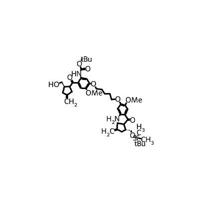 C=C1CC(C(=O)c2cc(OC)c(OCCCCCOc3cc(NC(=O)OC(C)(C)C)c(C(=O)C4CC(=C)C[C@H]4CO)cc3OC)cc2N)[C@H](CO[Si](C)(C)C(C)(C)C)C1